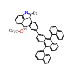 CCC1=Nc2cccc3c2C1c1ccc(-c2ccc4c(-c5cccc6ccccc56)c5ccccc5c(-c5cccc6ccccc56)c4c2)cc1[C@@H]3OC=O